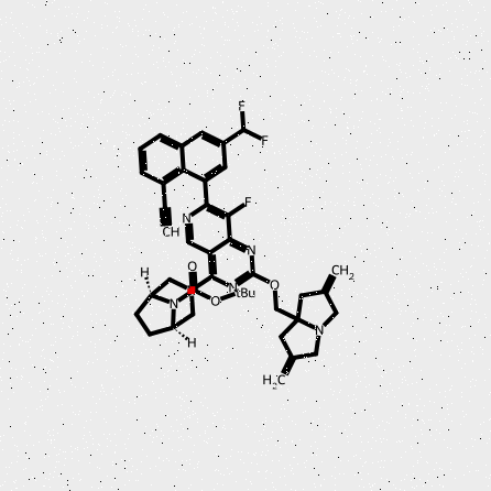 C#Cc1cccc2cc(C(F)F)cc(-c3ncc4c(N5C[C@H]6CC[C@@H](C5)N6C(=O)OC(C)(C)C)nc(OCC56CC(=C)CN5CC(=C)C6)nc4c3F)c12